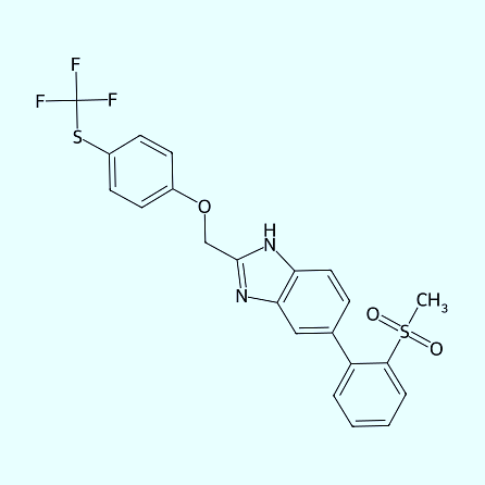 CS(=O)(=O)c1ccccc1-c1ccc2[nH]c(COc3ccc(SC(F)(F)F)cc3)nc2c1